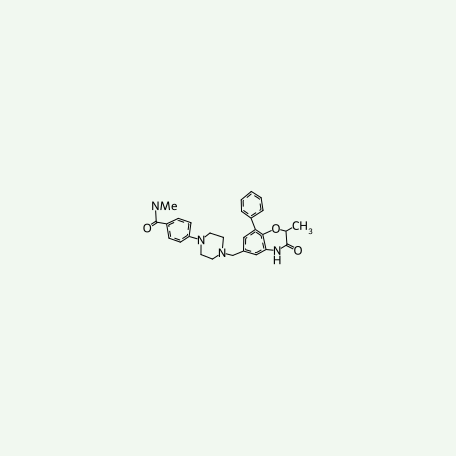 CNC(=O)c1ccc(N2CCN(Cc3cc4c(c(-c5ccccc5)c3)OC(C)C(=O)N4)CC2)cc1